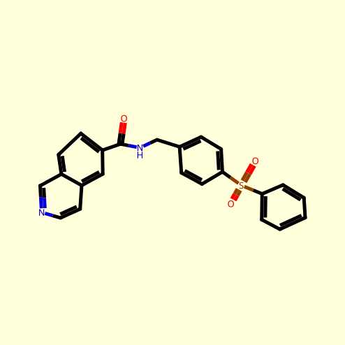 O=C(NCc1ccc(S(=O)(=O)c2ccccc2)cc1)c1ccc2cnccc2c1